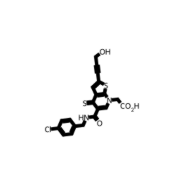 O=C(O)Cn1cc(C(=O)NCc2ccc(Cl)cc2)c(=S)c2cc(C#CCO)sc21